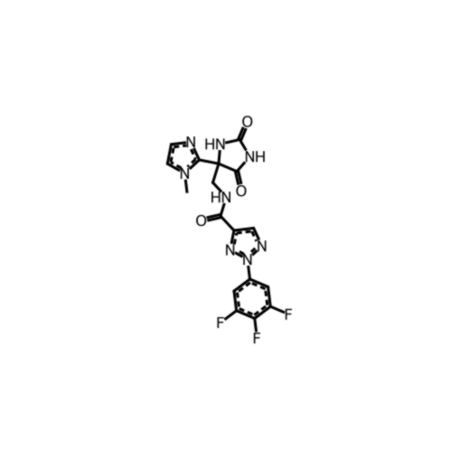 Cn1ccnc1C1(CNC(=O)c2cnn(-c3cc(F)c(F)c(F)c3)n2)NC(=O)NC1=O